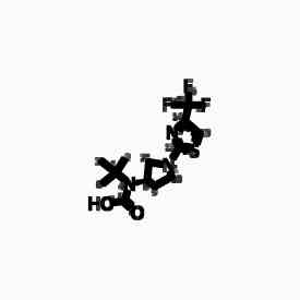 CC(C)(C)N(C(=O)O)[C@@H]1CCN(c2nc(C(F)(F)F)cs2)C1